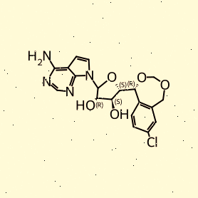 Nc1ncnc2c1ccn2C1O[C@H]([C@@H]2OCOCc3cc(Cl)ccc32)[C@@H](O)[C@H]1O